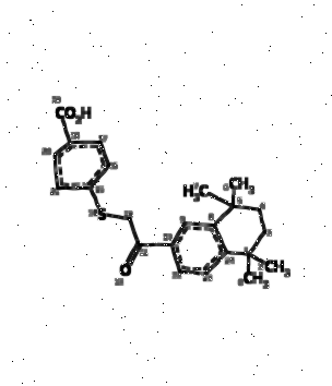 CC1(C)CCC(C)(C)c2cc(C(=O)CSc3ccc(C(=O)O)cc3)ccc21